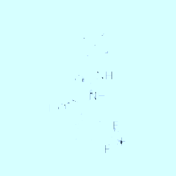 O=C(NC1CC2(CCC2)C1)N[C@H](CO)c1cccc(C(F)(F)F)c1